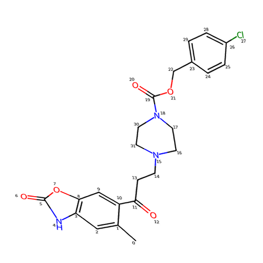 Cc1cc2[nH]c(=O)oc2cc1C(=O)CCN1CCN(C(=O)OCc2ccc(Cl)cc2)CC1